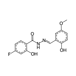 COc1ccc(O)c(/C=N/NC(=O)c2ccc(F)cc2O)c1